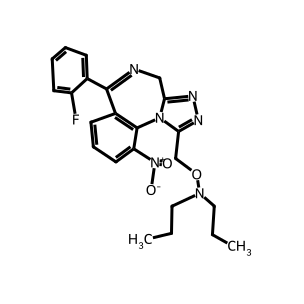 CCCN(CCC)OCc1nnc2n1-c1c(cccc1[N+](=O)[O-])C(c1ccccc1F)=NC2